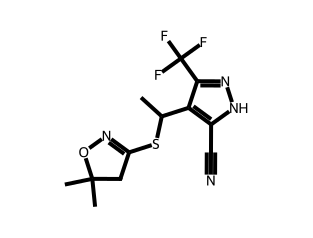 CC(SC1=NOC(C)(C)C1)c1c(C(F)(F)F)n[nH]c1C#N